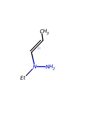 C/C=C/N(N)CC